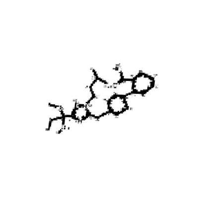 CCC(OC)(OC)c1nc(Cc2ccc(-c3ccccc3C(=O)O)cc2)n(CCC(C)C)n1